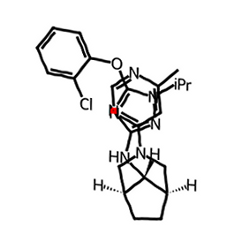 Cc1cc(N2C[C@H]3CC[C@@H](C2)[C@@H]3Nc2nc(Oc3ccccc3Cl)n(C(C)C)n2)ncn1